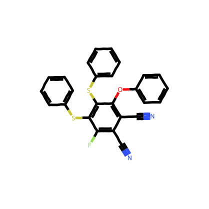 N#Cc1c(F)c(Sc2ccccc2)c(Sc2ccccc2)c(Oc2ccccc2)c1C#N